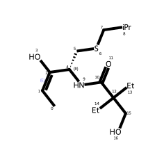 C/C=C(/O)[C@H](CSCC(C)C)NC(=O)C(CC)(CC)CO